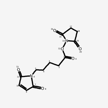 O=C(CCCCN1C(=O)C=CC1=O)ON1C(=O)CCC1=O